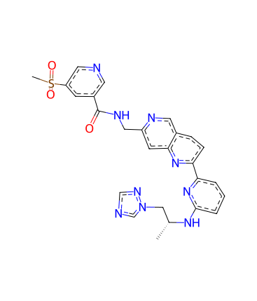 C[C@H](Cn1cncn1)Nc1cccc(-c2ccc3cnc(CNC(=O)c4cncc(S(C)(=O)=O)c4)cc3n2)n1